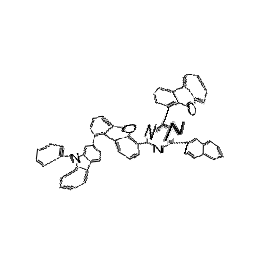 c1ccc(-n2c3ccccc3c3ccc(-c4cccc5oc6c(-c7nc(-c8ccc9ccccc9c8)nc(-c8cccc9c8oc8ccccc89)n7)cccc6c45)cc32)cc1